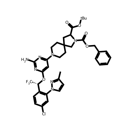 Cc1ccn(-c2cc(Cl)ccc2[C@@H](Oc2cc(N3CCC4(CC3)CC(C(=O)OC(C)(C)C)N(C(=O)OCc3ccccc3)C4)nc(N)n2)C(F)(F)F)n1